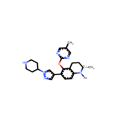 CC(=O)N1c2ccc(-c3cnn(C4CCNCC4)c3)c(Oc3ncc(C)cn3)c2CC[C@@H]1C